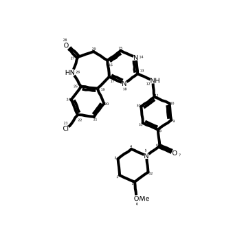 COC1CCCN(C(=O)c2ccc(Nc3ncc4c(n3)-c3ccc(Cl)cc3NC(=O)C4)cc2)C1